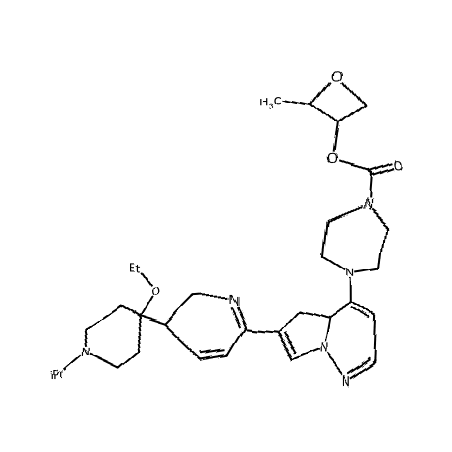 CCOC1(C2C=CC(C3=CN4N=CC=C(N5CCN(C(=O)OC6COC6C)CC5)C4C3)=NC2)CCN(C(C)C)CC1